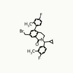 Cc1cc(C(C2CC2)N2CCc3c(cc(CBr)cc3-c3ccc(F)cc3C)C2=O)ccc1F